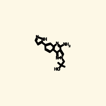 CC(C)(O)Cn1cc2c(N)nc3cc(-c4ccn[nH]4)ccc3c2n1